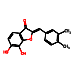 Cc1ccc(C=C2Oc3c(ccc(O)c3O)C2=O)cc1C